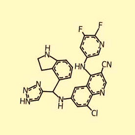 N#Cc1cnc2c(Cl)cc(NC(c3c[nH]nn3)c3cccc4c3CCN4)cc2c1Nc1cnc(F)c(F)c1